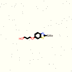 CSc1nc2ccc(OCCCO)cc2s1